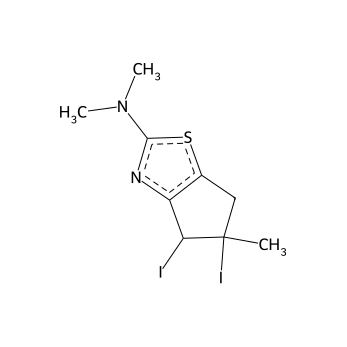 CN(C)c1nc2c(s1)CC(C)(I)C2I